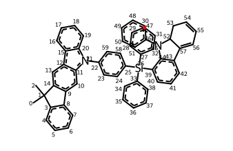 CC1(C)c2ccccc2-c2cc3c(cc21)c1ccccc1n3-c1ccc([Si](c2ccccc2)(c2ccccc2)c2cccc3c2N(c2ccccc2)C2CC=CC=C32)cc1